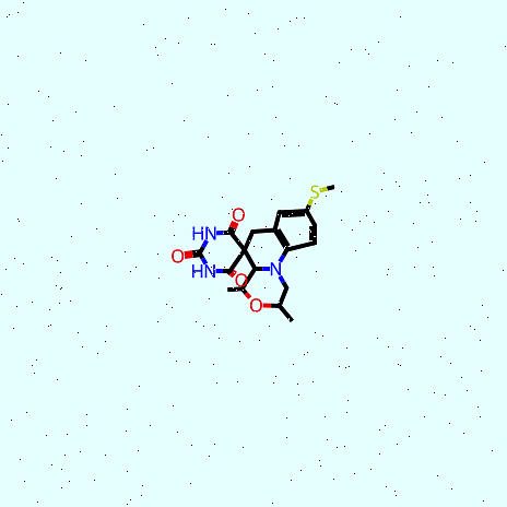 CSc1ccc2c(c1)CC1(C(=O)NC(=O)NC1=O)C1C(C)OC(C)CN21